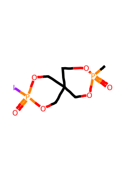 CP1(=O)OCC2(CO1)COP(=O)(I)OC2